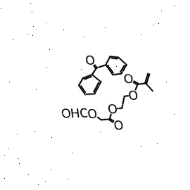 C=C(C)C(=O)OCCOC(=O)COC=O.O=C(c1ccccc1)c1ccccc1